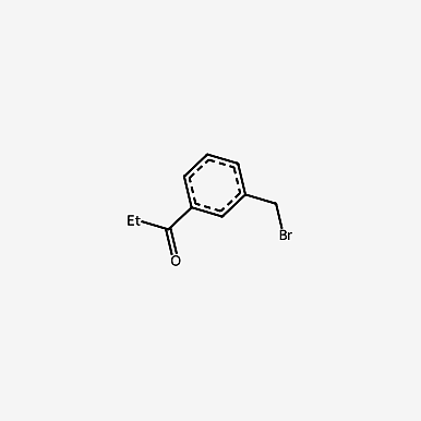 CCC(=O)c1cccc(CBr)c1